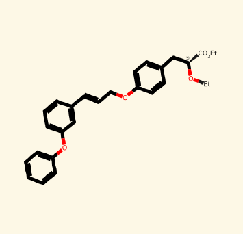 CCOC(=O)[C@H](Cc1ccc(OCC=Cc2cccc(Oc3ccccc3)c2)cc1)OCC